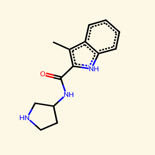 Cc1c(C(=O)NC2CCNC2)[nH]c2ccccc12